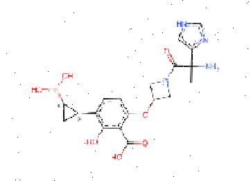 CC(N)(C(=O)N1CC(Oc2ccc([C@H]3C[C@H]3B(O)O)c(O)c2C(=O)O)C1)c1c[nH]cn1